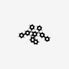 c1ccc(-c2ccc(N(c3ccccc3)c3cc(N(c4ccccc4)c4ccc(-c5ccccc5)cc4)c4sc5ccc6ccccc6c5c4c3)cc2)cc1